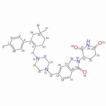 Cc1ccc(C2=C(CN3CCN(Cc4ccc5c(c4)CN(C4CCC(=O)NC4=O)C5=O)CC3)CCC(C)(C)C2)cc1